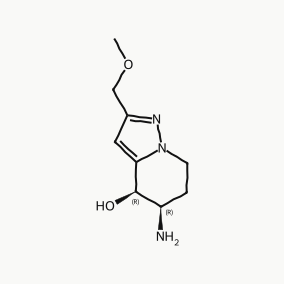 COCc1cc2n(n1)CC[C@@H](N)[C@H]2O